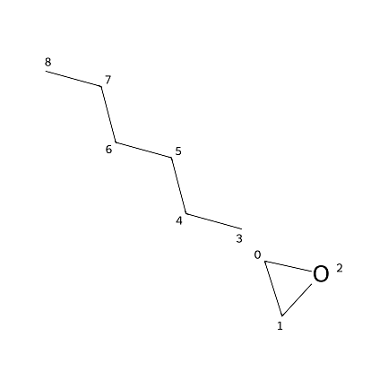 C1CO1.CCCCCC